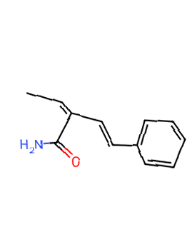 CC=C(C=Cc1ccccc1)C(N)=O